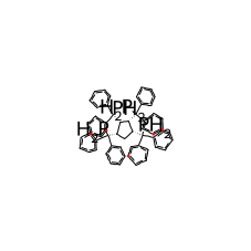 PC(c1ccccc1)(c1ccccc1)[C@@H]1[C@H](C(P)(c2ccccc2)c2ccccc2)[C@H](C(P)(c2ccccc2)c2ccccc2)C[C@@H]1C(P)(c1ccccc1)c1ccccc1